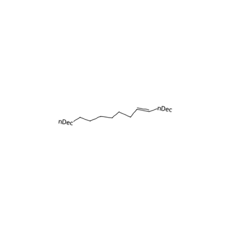 CCCCCCCCCC/C=C/CCCCCCCCCCCCCCCC